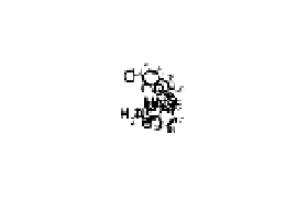 CC(=Cc1ccc(Cl)cc1)S(=O)(=O)Nc1c(F)cccc1S(N)(=O)=O